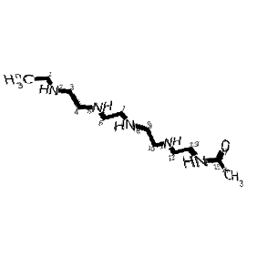 CCNCCNCCNCCNCCNC(C)=O